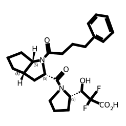 O=C([C@@H]1C[C@@H]2CCC[C@@H]2N1C(=O)CCCc1ccccc1)N1CCC[C@H]1C(O)C(F)(F)C(=O)O